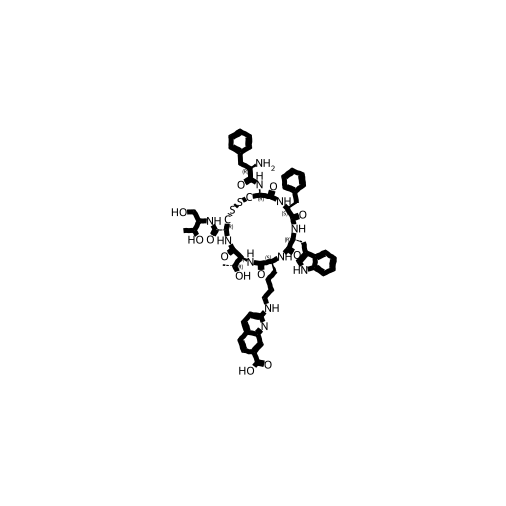 CC(O)C(CO)NC(=O)[C@@H]1CSSC[C@H](NC(=O)[C@H](N)Cc2ccccc2)C(=O)N[C@@H](Cc2ccccc2)C(=O)N[C@H](Cc2c[nH]c3ccccc23)C(=O)N[C@@H](CCCCNc2ccc3ccc(C(=O)O)cc3n2)C(=O)N[C@@H]([C@@H](C)O)C(=O)N1